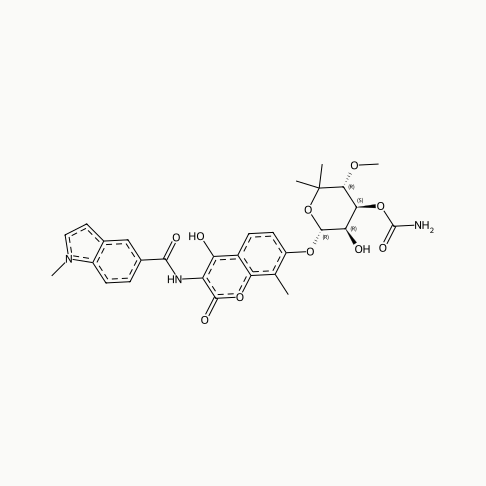 CO[C@@H]1[C@@H](OC(N)=O)[C@@H](O)[C@H](Oc2ccc3c(O)c(NC(=O)c4ccc5c(ccn5C)c4)c(=O)oc3c2C)OC1(C)C